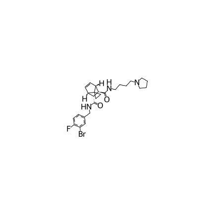 O=C(NCCCCN1CCCC1)[C@H]1[C@H](C(=O)NCc2ccc(F)c(Br)c2)[C@@H]2C=C[C@H]1C21CC1